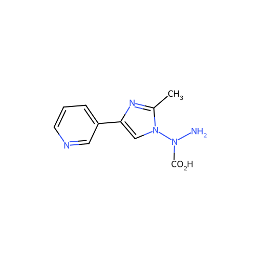 Cc1nc(-c2cccnc2)cn1N(N)C(=O)O